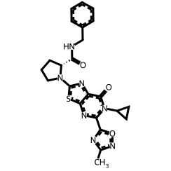 Cc1noc(-c2nc3sc(N4CCC[C@@H]4C(=O)NCc4ccccc4)nc3c(=O)n2C2CC2)n1